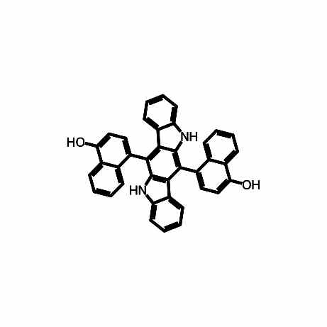 Oc1ccc(-c2c3[nH]c4ccccc4c3c(-c3ccc(O)c4ccccc34)c3[nH]c4ccccc4c23)c2ccccc12